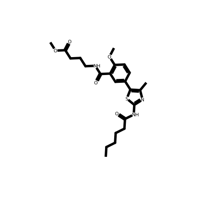 CCCCCC(=O)Nc1nc(C)c(-c2ccc(OC)c(C(=O)NCCCC(=O)OC)c2)s1